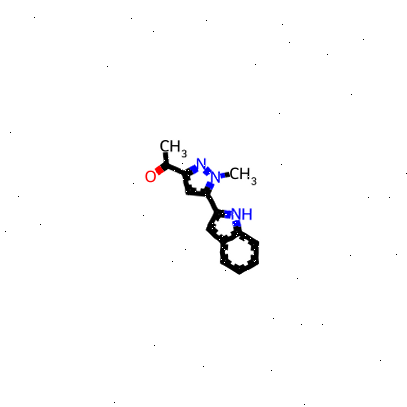 CC(=O)c1cc(-c2cc3ccccc3[nH]2)n(C)n1